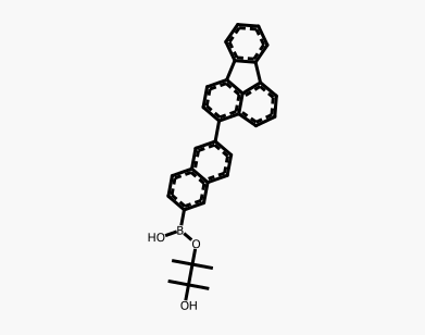 CC(C)(O)C(C)(C)OB(O)c1ccc2cc(-c3ccc4c5c(cccc35)-c3ccccc3-4)ccc2c1